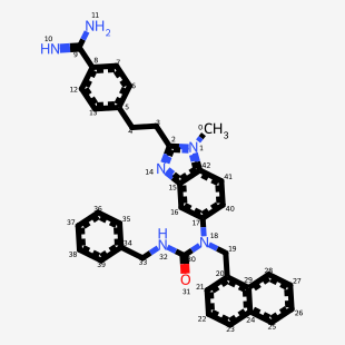 Cn1c(CCc2ccc(C(=N)N)cc2)nc2cc(N(Cc3cccc4ccccc34)C(=O)NCc3ccccc3)ccc21